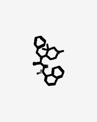 C[C@H](NC(=O)N(Cc1ccccc1)C1CCN(C)CC1(C)C)c1cccc2ccccc12